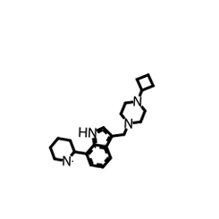 c1cc(C2CCCC[N]2)c2[nH]cc(CN3CCN(C4CCC4)CC3)c2c1